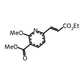 CCOC(=O)C=Cc1ccc(C(=O)OC)c(OC)n1